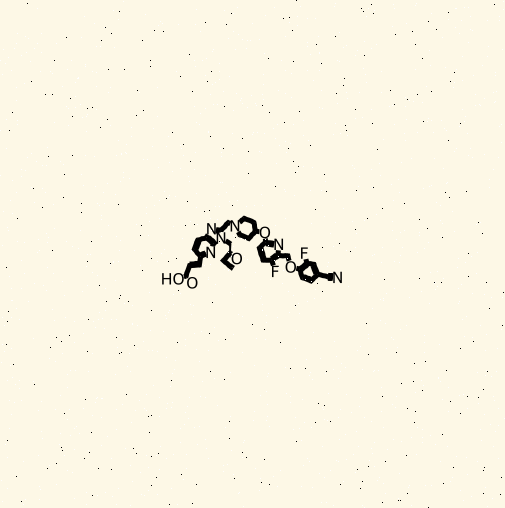 N#Cc1ccc(OCc2nc(OC3CCN(Cc4nc5ccc(/C=C/C(=O)O)nc5n4C[C@@H]4CCO4)CC3)ccc2F)c(F)c1